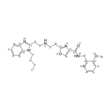 CCCCn1c(CCNCCc2nc(C(=O)NCc3ncccc3OC)co2)nc2ccccc21